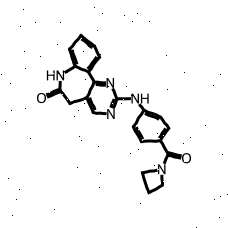 O=C1Cc2cnc(Nc3ccc(C(=O)N4CCC4)cc3)nc2-c2ccccc2N1